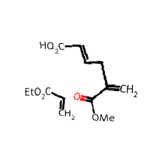 C=C(CC=CC(=O)O)C(=O)OC.C=CC(=O)OCC